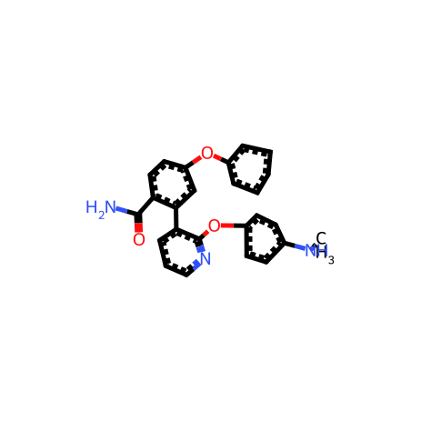 CNc1ccc(Oc2ncccc2-c2cc(Oc3ccccc3)ccc2C(N)=O)cc1